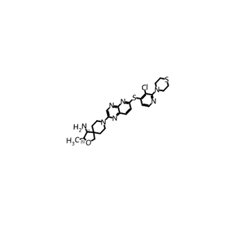 C[C@@H]1OCC2(CCN(c3cnc4nc(Sc5ccnc(N6CCSCC6)c5Cl)ccc4n3)CC2)[C@@H]1N